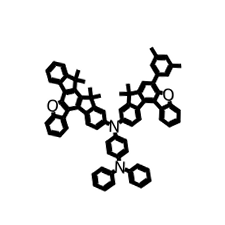 Cc1cc(C)cc(-c2cc3c(c4c2oc2ccccc24)-c2ccc(N(c4ccc(N(c5ccccc5)c5ccccc5)cc4)c4ccc5c(c4)C(C)(C)c4c6c(c7oc8ccccc8c7c4-5)-c4ccccc4C6(C)C)cc2C3(C)C)c1